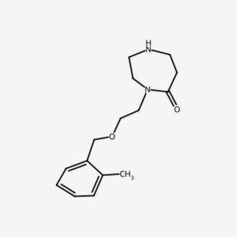 Cc1ccccc1COCCN1CCNCCC1=O